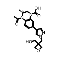 CC(=O)N1c2ccc(-c3cnn(CC4(CO)COC4)c3)cc2N(C(=O)O)C[C@@H]1C